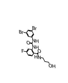 O=C(Nc1cc(Br)cc(Br)c1)Nc1cc(F)ccc1C(=O)NCCCO